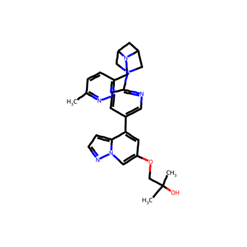 Cc1ccc(CN2C3CC2CN(c2ccc(-c4cc(OCC(C)(C)O)cn5nccc45)cn2)C3)nn1